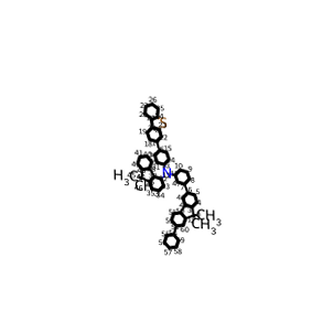 CC1(C)c2ccc(-c3cccc(N(c4ccc(-c5ccc6c(c5)sc5ccccc56)cc4)c4cccc5c4-c4ccccc4C5(C)C)c3)cc2-c2ccc(-c3ccccc3)cc21